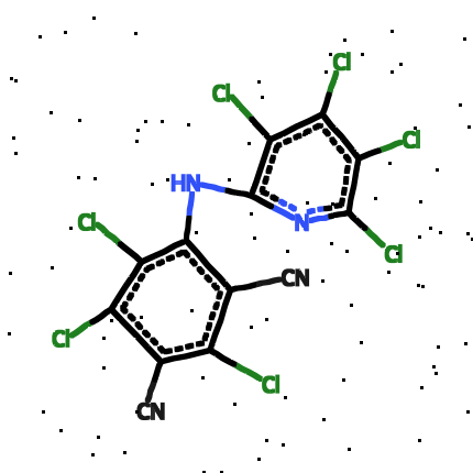 N#Cc1c(Cl)c(Cl)c(Nc2nc(Cl)c(Cl)c(Cl)c2Cl)c(C#N)c1Cl